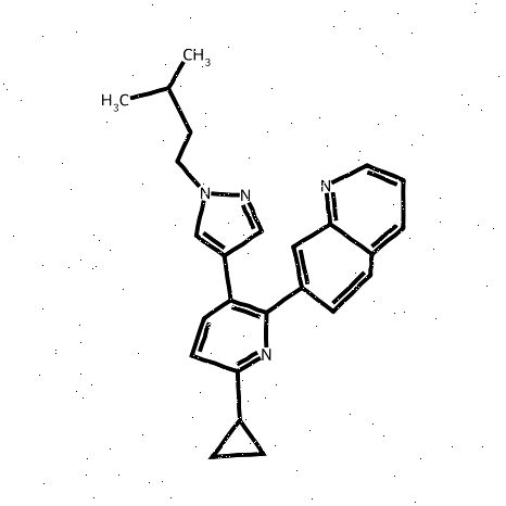 CC(C)CCn1cc(-c2ccc(C3CC3)nc2-c2ccc3cccnc3c2)cn1